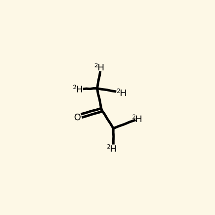 [2H]C([2H])C(=O)C([2H])([2H])[2H]